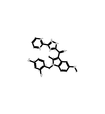 COc1ccc2c(c1)c(C(=O)c1nc(-c3ncccn3)no1)c(C)n2Cc1ccc(Cl)cc1Cl